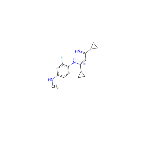 CNc1ccc(N/C(=C\C(=N)C2CC2)C2CC2)c(F)c1